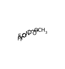 CCOC(=O)CC1CCN(c2ccc(C(F)(F)F)cc2)CC1